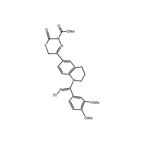 CCN=C(c1ccc(OC)c(OC)c1)N1CCCc2cc(C3=NN(C(=O)OC)C(=O)SC3)ccc21